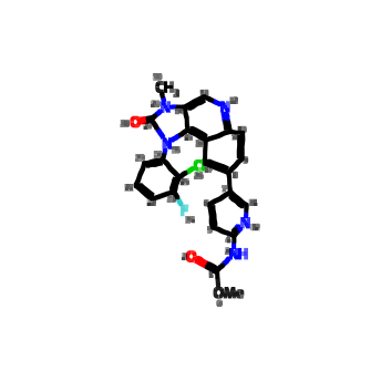 COC(=O)Nc1ccc(-c2ccc3ncc4c(c3c2)n(-c2cccc(F)c2Cl)c(=O)n4C)cn1